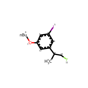 CCCCOc1cc(I)cc([C](C)CF)c1